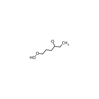 CCC([O])CCCOO